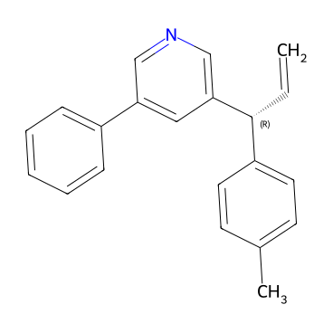 C=C[C@H](c1ccc(C)cc1)c1cncc(-c2ccccc2)c1